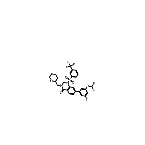 O=C1c2ccc(-c3cc(F)cc(OC(F)F)c3)cc2N(S(=O)(=O)c2cccc(C(F)(F)F)c2)CN1CC1CCCCO1